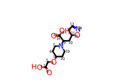 O=C(O)COC1CCN(C(CC2CC=NO2)C(=O)O)CC1